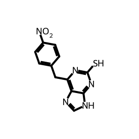 O=[N+]([O-])c1ccc(Cc2nc(S)nc3[nH]cnc23)cc1